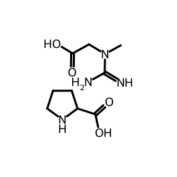 CN(CC(=O)O)C(=N)N.O=C(O)C1CCCN1